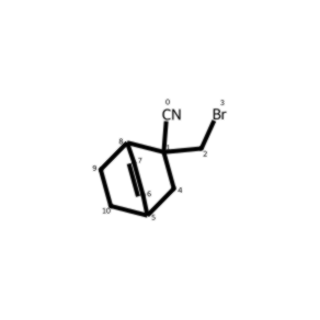 N#CC1(CBr)CC2C=CC1CC2